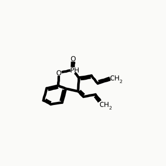 C=C/C=C1\C(=C/C=C)[PH](=O)Oc2ccccc21